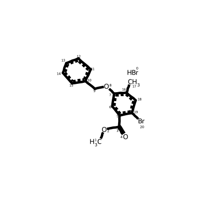 Br.COC(=O)c1cc(OCc2ccccc2)c(C)cc1Br